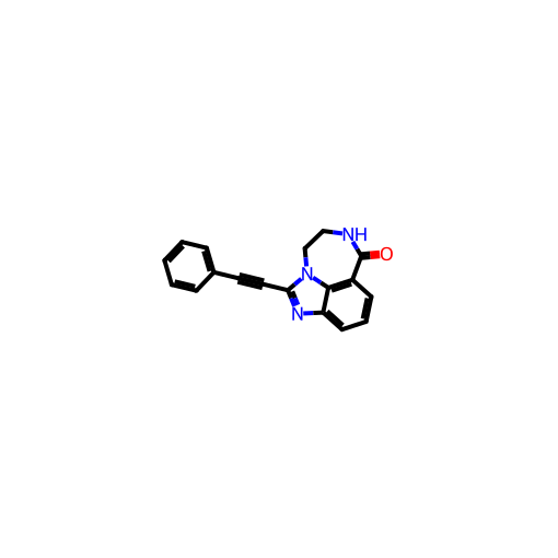 O=C1NCCn2c(C#Cc3ccccc3)nc3cccc1c32